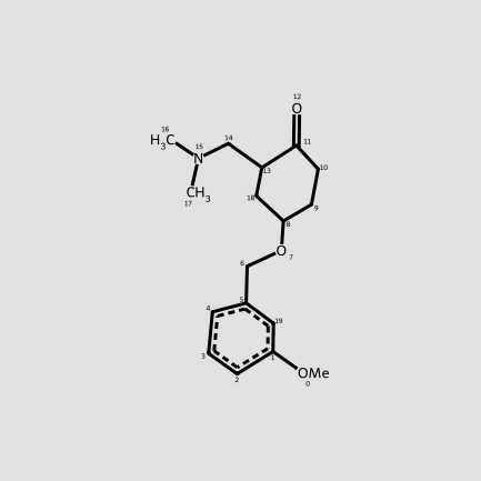 COc1cccc(COC2CCC(=O)C(CN(C)C)C2)c1